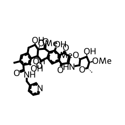 CO[C@@H]1[C@@H](O)[C@@H](OC)C(NC2=CC(=O)c3c(cc4c(c3O)C(=O)[C@]3(OC)[C@H](O)Cc5cc(C)c(C(=O)NCc6cccnc6)c(O)c5[C@]3(O)C4=O)C2=O)O[C@H]1C